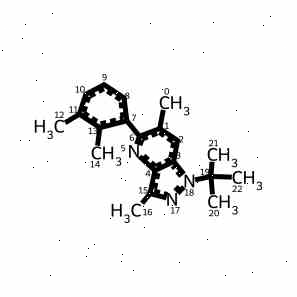 Cc1cc2c(nc1-c1cccc(C)c1C)c(C)nn2C(C)(C)C